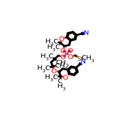 CSCOP(=O)(OCC(C)(C)CC(C)(C)O[C@@H]1Cc2cc(C#N)ccc2OC1(C)C)O[C@@H]1Cc2cc(C#N)ccc2OC1(C)C